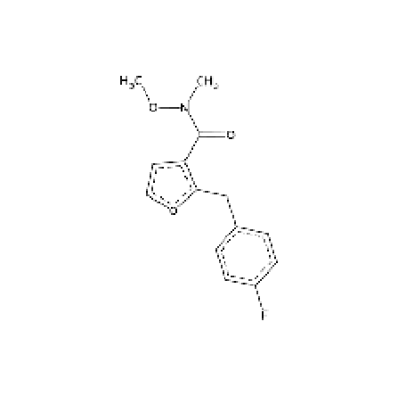 CON(C)C(=O)c1ccoc1Cc1ccc(F)cc1